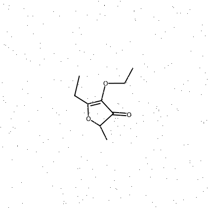 CCOC1=C(CC)OC(C)C1=O